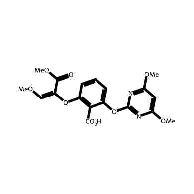 CO/C=C(/Oc1cccc(Oc2nc(OC)cc(OC)n2)c1C(=O)O)C(=O)OC